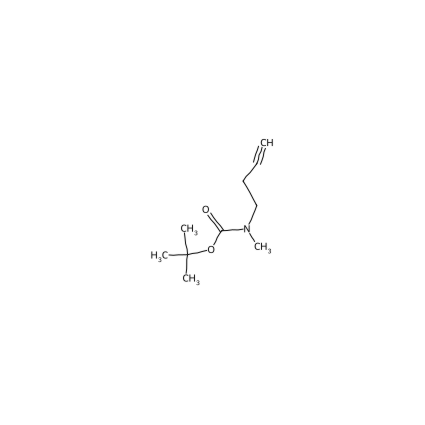 C#CCCN(C)C(=O)OC(C)(C)C